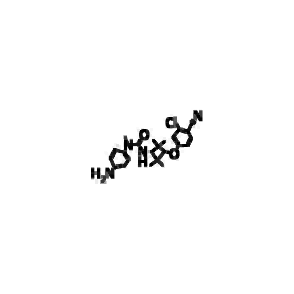 CN(C(=O)N[C@H]1C(C)(C)[C@H](Oc2ccc(C#N)c(Cl)c2)C1(C)C)c1ccc(N)cc1